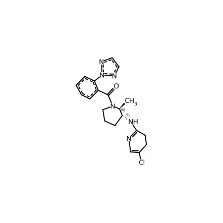 C[C@H]1[C@H](NC2=NC=C(Cl)CC2)CCCN1C(=O)c1ccccc1-n1nccn1